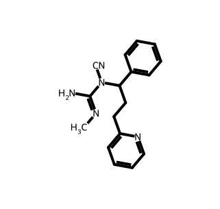 CN=C(N)N(C#N)C(CCc1ccccn1)c1ccccc1